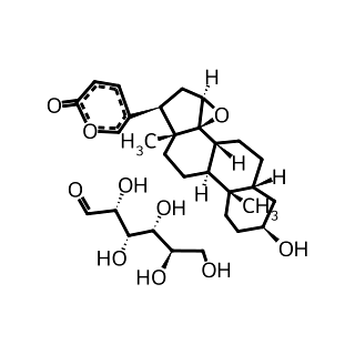 C[C@]12CC[C@H](O)C[C@H]1CC[C@@H]1[C@@H]2CC[C@]2(C)[C@@H](c3ccc(=O)oc3)C[C@H]3O[C@]132.O=C[C@H](O)[C@@H](O)[C@H](O)[C@H](O)CO